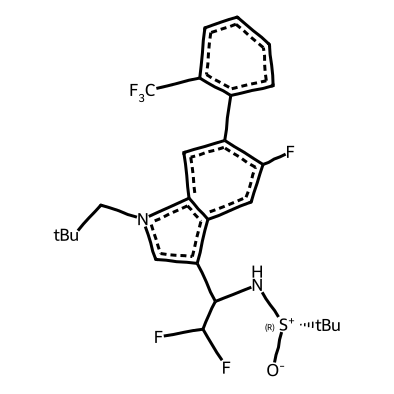 CC(C)(C)Cn1cc(C(N[S@@+]([O-])C(C)(C)C)C(F)F)c2cc(F)c(-c3ccccc3C(F)(F)F)cc21